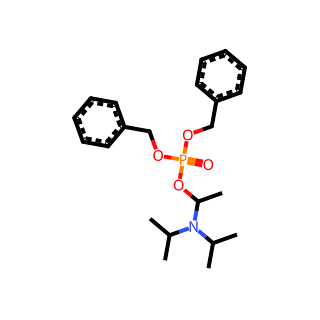 CC(C)N(C(C)C)C(C)OP(=O)(OCc1ccccc1)OCc1ccccc1